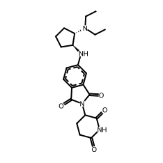 CCN(CC)[C@H]1CCC[C@@H]1Nc1ccc2c(c1)C(=O)N(C1CCC(=O)NC1=O)C2=O